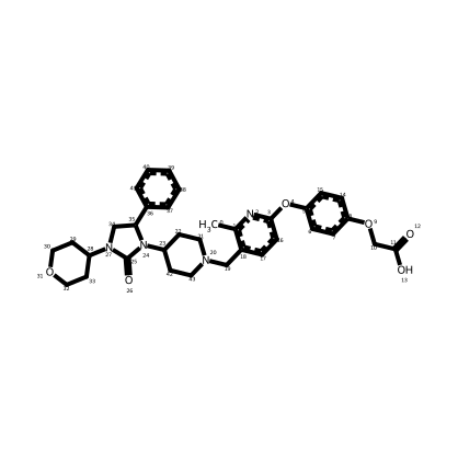 Cc1nc(Oc2ccc(OCC(=O)O)cc2)ccc1CN1CCC(N2C(=O)N(C3CCOCC3)CC2c2ccccc2)CC1